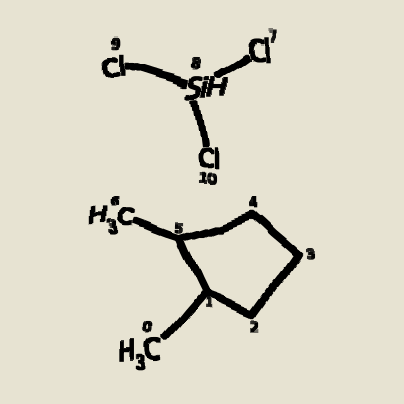 CC1CCCC1C.Cl[SiH](Cl)Cl